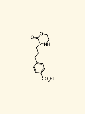 CCOC(=O)c1ccc(CCCN2NCCOC2=O)cc1